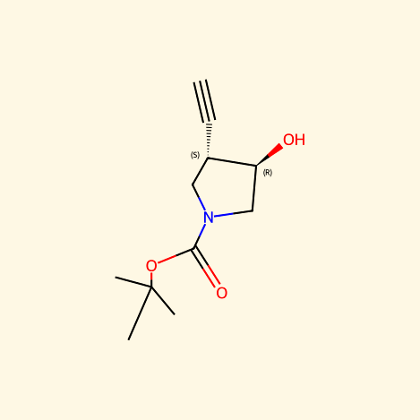 C#C[C@H]1CN(C(=O)OC(C)(C)C)C[C@@H]1O